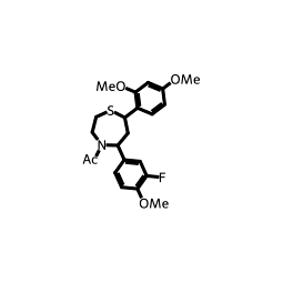 COc1ccc(C2CC(c3ccc(OC)c(F)c3)N(C(C)=O)CCS2)c(OC)c1